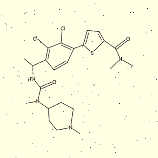 CC(NC(=O)N(C)C1CCN(C)CC1)c1ccc(-c2ccc(C(=O)N(C)C)s2)c(Cl)c1Cl